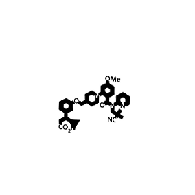 COc1ccc(C(=O)N(CC(C)(C)C#N)c2ccccn2)c(N2CCC(COc3cccc(C(CC(=O)O)C4CC4)c3)CC2)c1